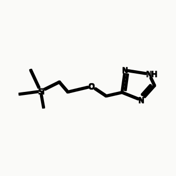 C[Si](C)(C)CCOCc1nc[nH]n1